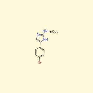 CCCCCCCCNc1ncc(-c2ccc(Br)cc2)[nH]1